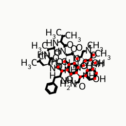 CC(C)C[C@H](NC(=O)CNC(=O)[C@H](Cc1ccccc1)N(C)C(=O)[C@H](C)NC(=O)[C@@H](N)Cc1ccccc1)C(=O)N[C@@H](C)C(=O)N[C@H](C(=O)N[C@@H](Cc1ccccc1)C(=O)N[C@@H](CC(=O)O)C(=O)N(C)[C@@H](C)C(=O)N[C@@H](CO)C(=O)NCC(N)=O)C(C)C